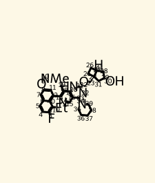 CCc1c(F)ccc2cc(ONC)cc(-c3ncc4c(c3C)NC(OC[C@@]35CC[C@@H]3C[C@H](O)C5)N=C4N3CCCCC3)c12